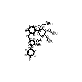 CCCCOC[C@H]1OC(O)(c2ccc(C)c(Cc3ccc(-c4ccc(F)cc4)s3)c2)[C@H](OCCCC)[C@@H](OCCCC)[C@@H]1OCCCC